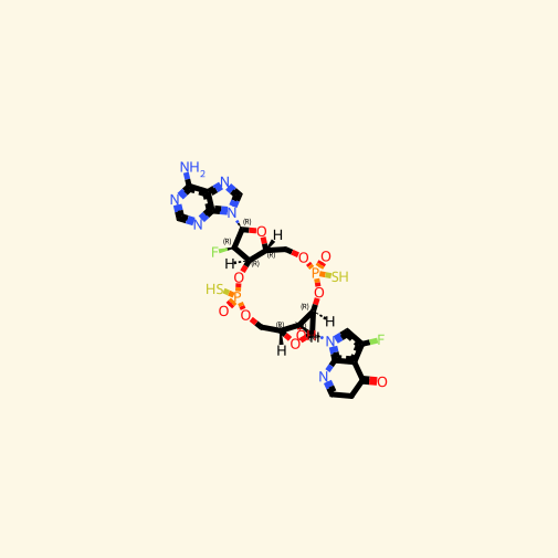 Nc1ncnc2c1ncn2[C@@H]1O[C@@H]2COP(=O)(S)O[C@@H]3[C@H](O)[C@@H](COP(=O)(S)O[C@H]2[C@H]1F)O[C@H]3n1cc(F)c2c1N=CCC2=O